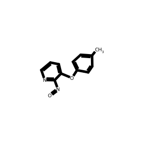 Cc1ccc(Oc2cccnc2N=O)cc1